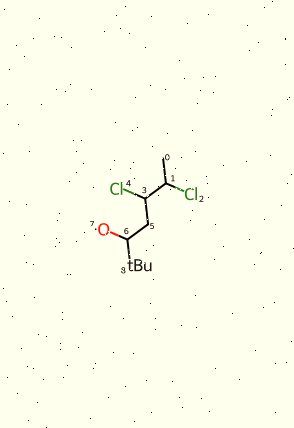 CC(Cl)C(Cl)CC([O])C(C)(C)C